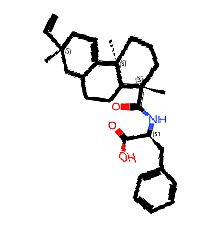 C=C[C@]1(C)CC=C2C(CCC3[C@@](C)(C(=O)N[C@@H](Cc4ccccc4)C(=O)O)CCC[C@]23C)C1